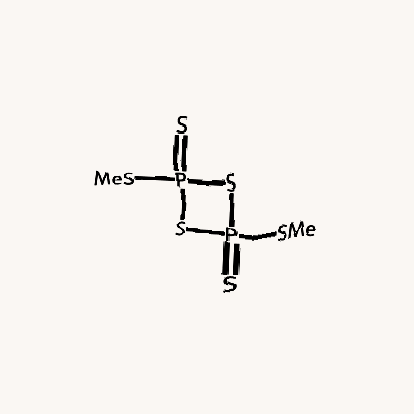 CSP1(=S)SP(=S)(SC)S1